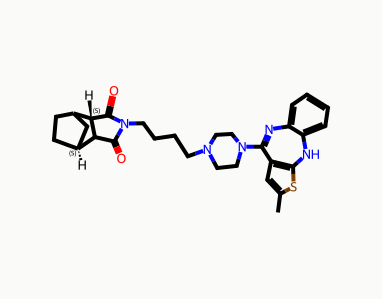 Cc1cc2c(s1)Nc1ccccc1N=C2N1CCN(CCCCN2C(=O)C3[C@H]4CCC(C4)[C@@H]3C2=O)CC1